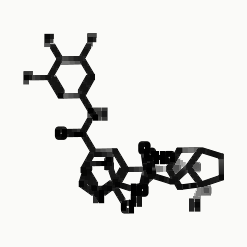 O=C(C[C@@]1(O)C2CC[C@H]1C[C@H](S(=O)(=O)c1cc(C(=O)Nc3cc(F)c(F)c(F)c3)ccc1Cl)C2)Nc1nccs1